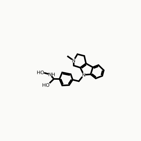 CN1CCc2c(n(Cc3ccc(C(O)NO)cc3)c3ccccc23)C1